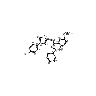 COc1ccc2nc(-c3cccnc3)nc(Nc3nc(-c4ccc(C#N)cc4)cs3)c2c1